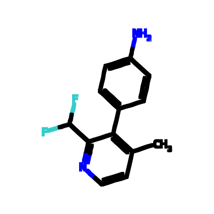 Cc1ccnc(C(F)F)c1-c1ccc(N)cc1